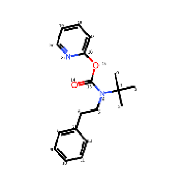 CC(C)(C)N(CCc1ccccc1)C(=O)Oc1ccccn1